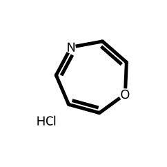 C1=COC=CN=C1.Cl